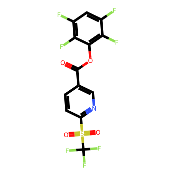 O=C(Oc1c(F)c(F)cc(F)c1F)c1ccc(S(=O)(=O)C(F)(F)F)nc1